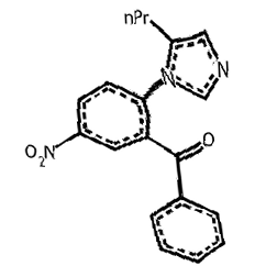 CCCc1cncn1-c1ccc([N+](=O)[O-])cc1C(=O)c1ccccc1